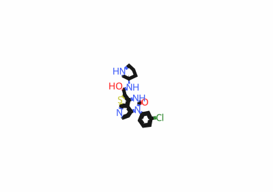 O=C1Nc2c(C(O)N[C@@H]3CCCNC3)sc3nccc(c23)N1c1cccc(Cl)c1